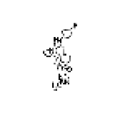 Cn1ncc(S(=O)(=O)N2CCC3=Cc4c(cnn4-c4ccc(F)cc4)CC3(C(=O)c3cscn3)C2)n1